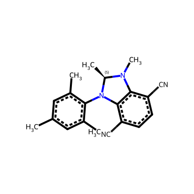 Cc1cc(C)c(N2c3c(C#N)ccc(C#N)c3N(C)[C@@H]2C)c(C)c1